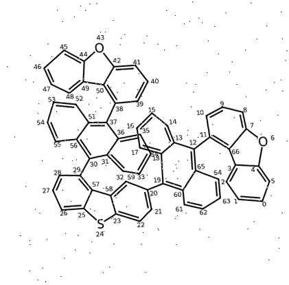 c1ccc2c(c1)oc1cccc(-c3c4ccccc4c(-c4ccc5sc6cccc(-c7c8ccccc8c(-c8cccc9oc%10ccccc%10c89)c8ccccc78)c6c5c4)c4ccccc34)c12